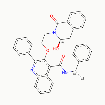 CC[C@H](NC(=O)c1c(OCCN2C(=O)c3ccccc3C[C@H]2O)c(-c2ccccc2)nc2ccccc12)c1ccccc1